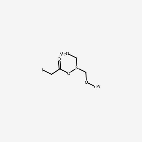 CCCOCN(COC)OC(=O)CI